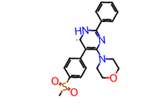 CS(=O)(=O)c1ccc(C2=C(N3CCOCC3)N=C(c3ccccc3)N[CH]2)cc1